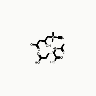 CC(=O)N[C@@H](CCC(=O)O)C(=O)O.C[N+](C)(C#N)CC(O)CC(=O)[O-]